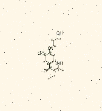 CCc1c(C)[nH]c2cc(OCCCO)c(Cl)cc2c1=O